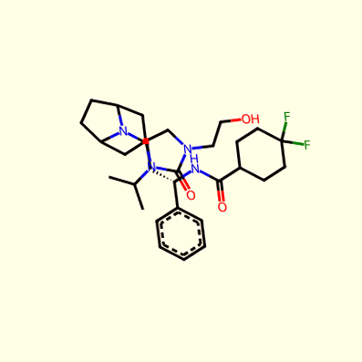 CC(C)N1C(=O)N(CCO)CC12CC1CCC(C2)N1CC[C@H](NC(=O)C1CCC(F)(F)CC1)c1ccccc1